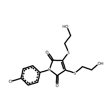 O=C1C(SCCO)=C(SCCO)C(=O)N1c1ccc(Cl)cc1